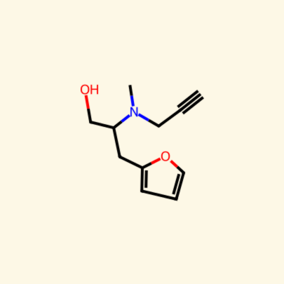 C#CCN(C)C(CO)Cc1ccco1